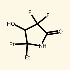 CCC1(CC)NC(=O)C(F)(F)C1O